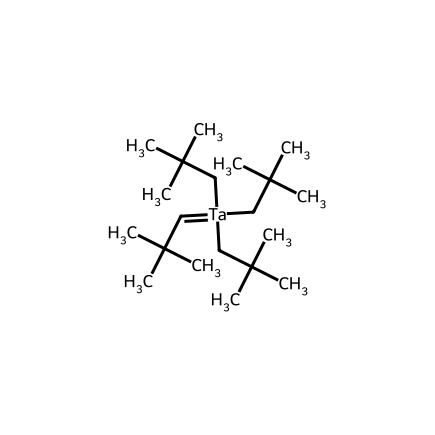 CC(C)(C)[CH]=[Ta]([CH2]C(C)(C)C)([CH2]C(C)(C)C)[CH2]C(C)(C)C